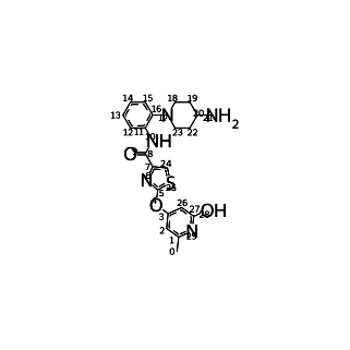 Cc1cc(Oc2nc(C(=O)Nc3ccccc3N3CCC(N)CC3)cs2)cc(O)n1